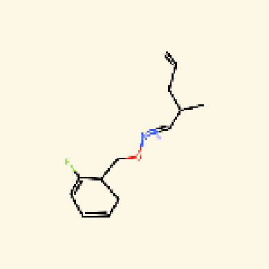 C=CCC(C)/C=N/OCC1CC=CC=C1F